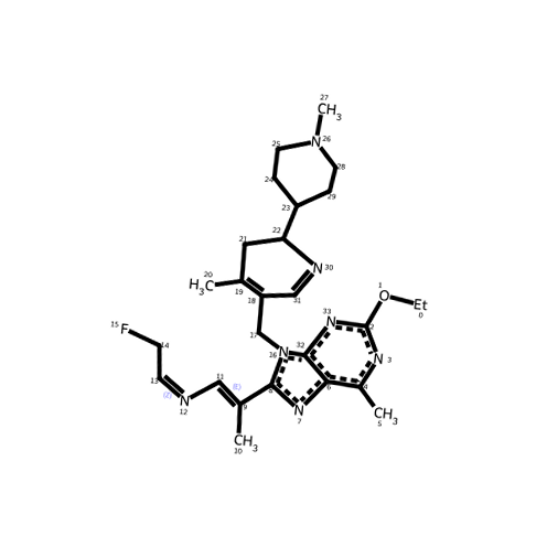 CCOc1nc(C)c2nc(/C(C)=C/N=C\CF)n(CC3=C(C)CC(C4CCN(C)CC4)N=C3)c2n1